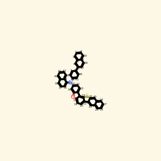 c1ccc2cc(-c3ccc(N(c4ccc5c(c4)oc4ccc6c7cc8ccccc8cc7sc6c45)c4cccc5ccccc45)cc3)ccc2c1